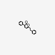 O=c1oc(CCc2ccccc2)ccc1-c1ccccc1